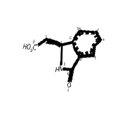 O=C(O)C=C1NC(=O)c2ccccc21